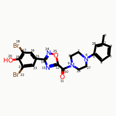 Cc1cccc(N2CCN(C(=O)c3nc(-c4cc(Br)c(O)c(Br)c4)no3)CC2)c1